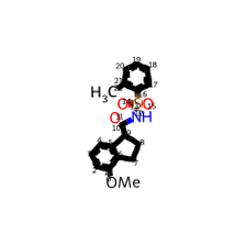 COc1cccc2c1CCC2C(=O)NS(=O)(=O)c1ccccc1C